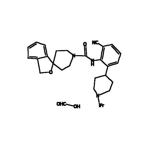 CC(C)N1CCC(c2cccc(C#N)c2NC(=O)N2CCC3(CC2)OCc2ccccc23)CC1.O=CO